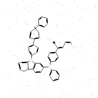 C#C/C(=C\C=C/C)c1ccc(N(c2ccccc2)c2ccc3c(c2)N(c2ccc(C4=CCC(C)(c5ccccc5)C=C4)cc2)C2=CC=CCC23)cc1